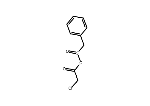 O=C(CCl)OS(=O)Cc1ccccc1